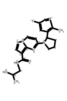 Cc1ncc(F)cc1C1CCCN1c1ccn2ncc(C(=O)NCC(C)O)c2n1